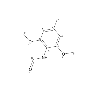 COc1cc(C)cc(OC)c1N[C]=O